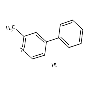 Cc1cc(-c2ccccc2)ccn1.I